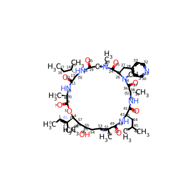 C/C=C(\C)[C@H]1OC(=O)[C@@H](C)NC(=O)[C@H](C(C)CC)NC(=O)CN(C)C(=O)[C@@H](Cc2ccncc2)N(C)C(=O)[C@H](C)NC(=O)[C@@H](CC(C)C)NC(=O)/C(C)=C/C[C@H](O)[C@@H]1C